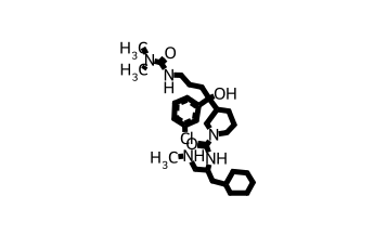 CNCC(CC1CCCCC1)NC(=O)N1CCCC(C(O)(CCCNC(=O)N(C)C)c2cccc(Cl)c2)C1